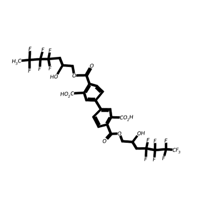 CC(F)(F)C(F)(F)C(F)(F)CC(O)COC(=O)c1ccc(-c2ccc(C(=O)OCC(O)CC(F)(F)C(F)(F)C(F)(F)C(F)(F)F)c(C(=O)O)c2)cc1C(=O)O